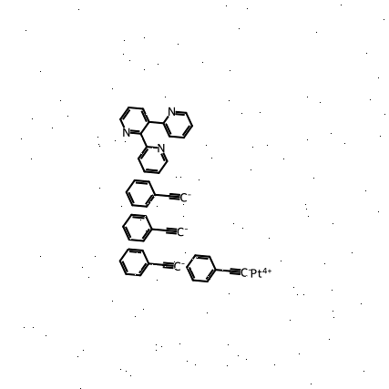 [C-]#Cc1ccccc1.[C-]#Cc1ccccc1.[C-]#Cc1ccccc1.[C-]#Cc1ccccc1.[Pt+4].c1ccc(-c2cccnc2-c2ccccn2)nc1